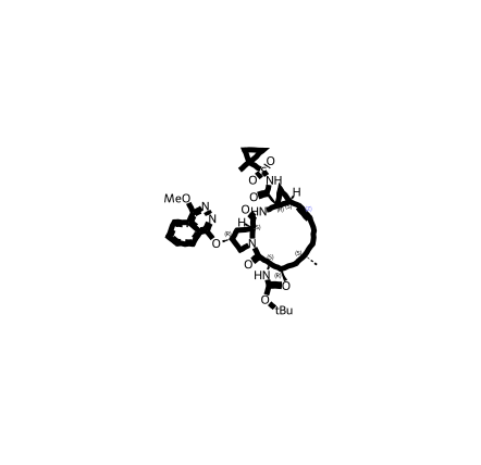 COc1nnc(O[C@@H]2C[C@H]3C(=O)N[C@]4(C(=O)NS(=O)(=O)C5(C)CC5)C[C@H]4/C=C\CC[C@H](C)C[C@@H](C)[C@H](NC(=O)OC(C)(C)C)C(=O)N3C2)c2ccccc12